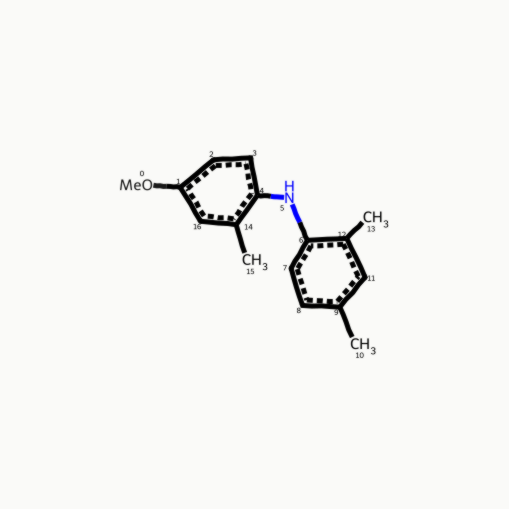 COc1ccc(Nc2ccc(C)cc2C)c(C)c1